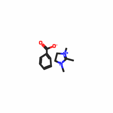 CC1=[N+](C)CCN1C.O=C([O-])c1ccccc1